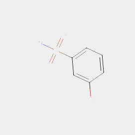 NS(=O)(=O)c1cccc([O])c1